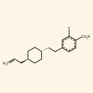 C=CC[C@H]1CC[C@H](CCc2ccc(C(=O)O)c(F)c2)CC1